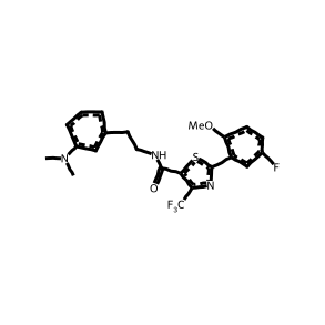 COc1ccc(F)cc1-c1nc(C(F)(F)F)c(C(=O)NCCc2cccc(N(C)C)c2)s1